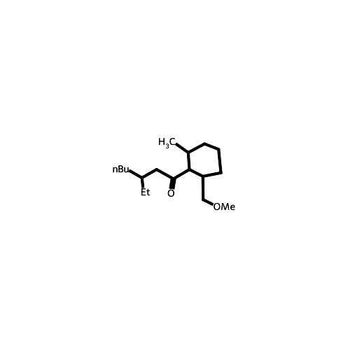 CCCCC(CC)CC(=O)C1C(C)CCCC1COC